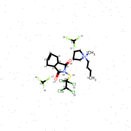 CCCC[N+]1(C)CCCC1.FC(F)F.FC(F)F.O=C1C2CC=CCC2C(=O)N1SC(Cl)(Cl)C(Cl)Cl